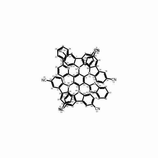 N#Cc1ccc2c(c1)c1cc(C#N)ccc1n2-c1c(-c2cccc(-c3ccccc3)n2)c(-n2c3ccc(C#N)cc3c3cc(C#N)ccc32)c(-n2c3ccc(C#N)cc3c3cc(C#N)ccc32)c(-c2nc3ccccc3s2)c1-n1c2ccc(C#N)cc2c2cc(C#N)ccc21